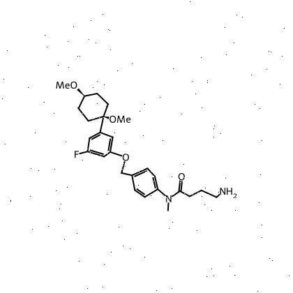 CO[C@H]1CC[C@](OC)(c2cc(F)cc(OCc3ccc(N(C)C(=O)CCCN)cc3)c2)CC1